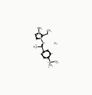 CCc1n(N)cc[n+]1/N=C(\C)c1ccc(N(C)C)cc1.[Cl-]